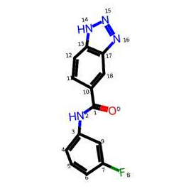 O=C(Nc1cccc(F)c1)c1ccc2[nH]nnc2c1